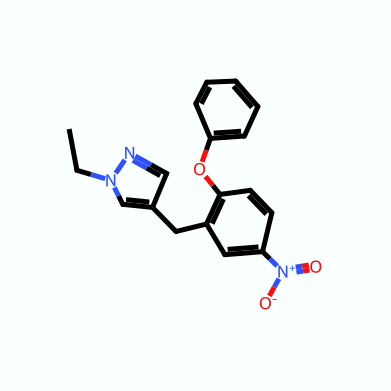 CCn1cc(Cc2cc([N+](=O)[O-])ccc2Oc2ccccc2)cn1